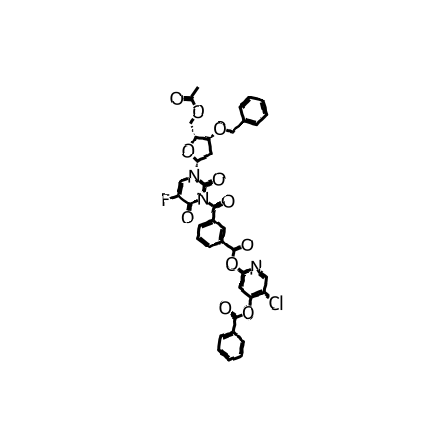 CC(=O)OC[C@H]1O[C@@H](n2cc(F)c(=O)n(C(=O)c3cccc(C(=O)Oc4cc(OC(=O)c5ccccc5)c(Cl)cn4)c3)c2=O)C[C@@H]1OCc1ccccc1